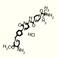 CO[C@@H]1CN(Cc2ccc(-n3ccc(NC(=O)N4CCN(C(=O)C(C)(C)N)CC4)nc3=O)cc2)CC[C@H]1N.Cl